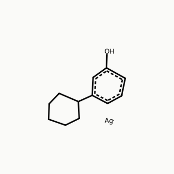 Oc1cccc(C2CCCCC2)c1.[Ag]